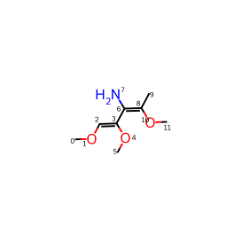 CO/C=C(OC)/C(N)=C(/C)OC